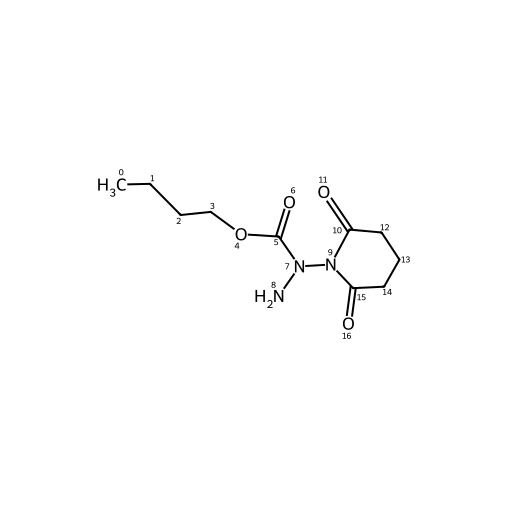 CCCCOC(=O)N(N)N1C(=O)CCCC1=O